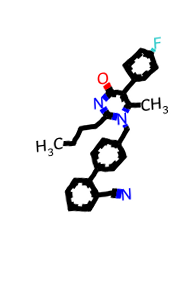 CCCCc1nc(=O)c(-c2ccc(F)cc2)c(C)n1Cc1ccc(-c2ccccc2C#N)cc1